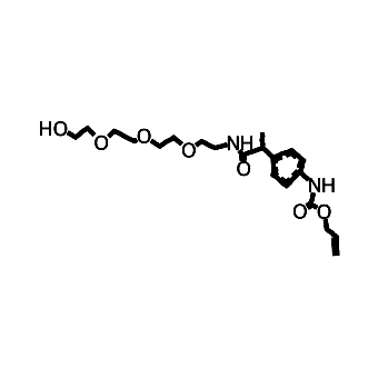 C=CCOC(=O)Nc1ccc(C(C)C(=O)NCCOCCOCCOCCO)cc1